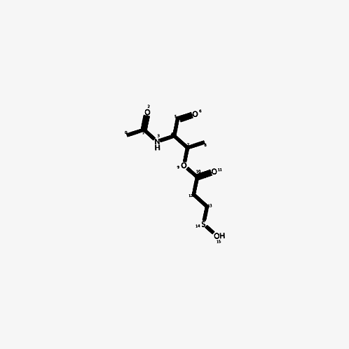 CC(=O)NC(C=O)C(C)OC(=O)CCSO